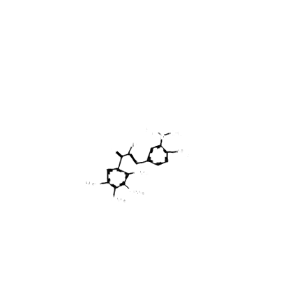 COc1cc(C(=O)C(=Cc2ccc(N)c(N(C)C)c2)C(C)C)c(OC)c(OC)c1OC